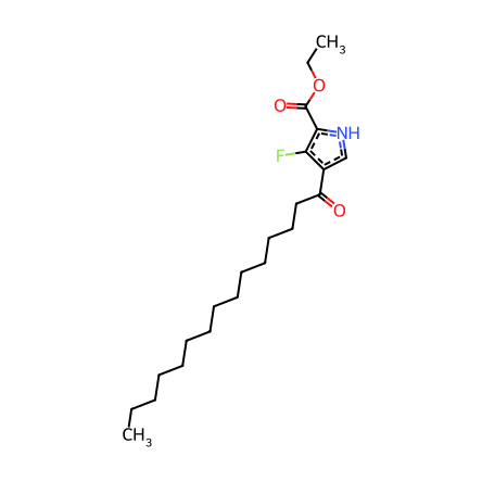 CCCCCCCCCCCCCCC(=O)c1c[nH]c(C(=O)OCC)c1F